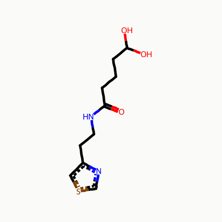 O=C(CCCC(O)O)NCCc1cscn1